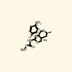 C[C@H]1C[C@H]2CSC(NC(=O)OC(C)(C)C)=N[C@@]2(c2cc([N+](=O)[O-])ccc2F)CO1